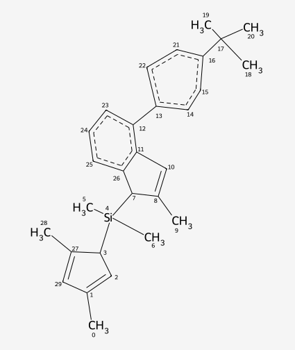 CC1=CC([Si](C)(C)C2C(C)=Cc3c(-c4ccc(C(C)(C)C)cc4)cccc32)C(C)=C1